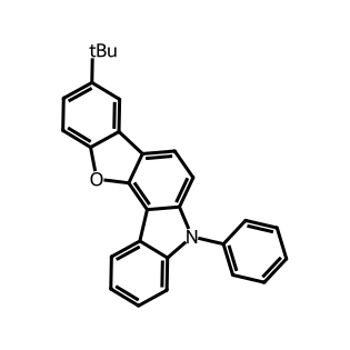 CC(C)(C)c1ccc2oc3c(ccc4c3c3ccccc3n4-c3ccccc3)c2c1